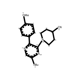 CCCCc1cnc(-c2ccc(OC)cc2)c(N2CCC(C#N)CC2)n1